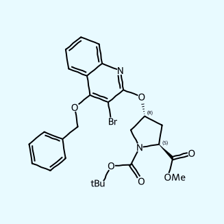 COC(=O)[C@@H]1C[C@@H](Oc2nc3ccccc3c(OCc3ccccc3)c2Br)CN1C(=O)OC(C)(C)C